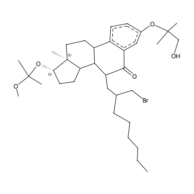 CCCCCCC(CBr)CC1C(=O)c2cc(OC(C)(C)CO)ccc2C2CC[C@@]3(C)C(CC[C@@H]3OC(C)(C)OC)C12